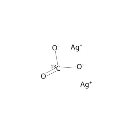 O=[13C]([O-])[O-].[Ag+].[Ag+]